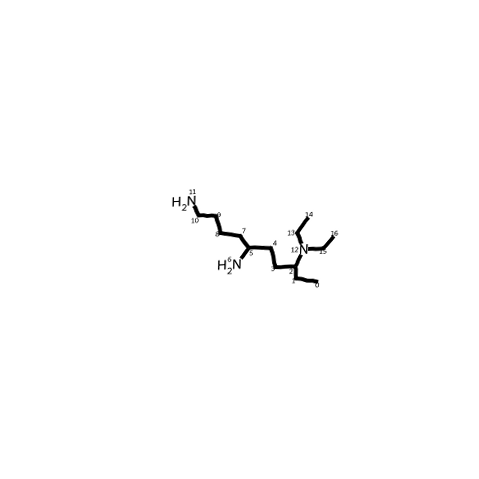 CCC(CCC(N)CCCCN)N(CC)CC